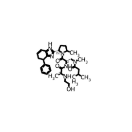 CC(C)CC(=O)N(C)C[C@H](NC(=O)[C@H](C)NCCO)C(=O)N1C(C)CC[C@H]1c1nc2c([nH]1)C=CCC2c1ccccc1